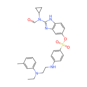 CCN(CCNc1ccc(S(=O)(=O)Oc2ccc3[nH]c(N(C=O)C4CC4)nc3c2)cc1)c1cccc(C)c1